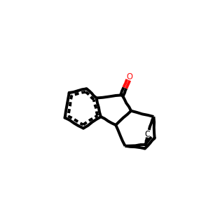 O=C1c2ccccc2C2C3C=CC(CC3)C12